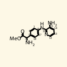 COC(=O)C(N)c1ccc(Nc2ncccc2N)cc1